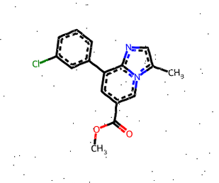 COC(=O)c1cc(-c2cccc(Cl)c2)c2ncc(C)n2c1